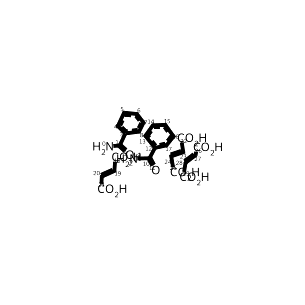 NC(=O)c1ccccc1.NC(=O)c1ccccc1.O=C(O)/C=C/C(=O)O.O=C(O)/C=C/C(=O)O.O=C(O)/C=C/C(=O)O